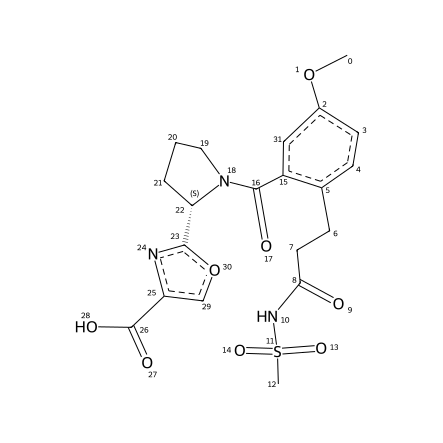 COc1ccc(CCC(=O)NS(C)(=O)=O)c(C(=O)N2CCC[C@H]2c2nc(C(=O)O)co2)c1